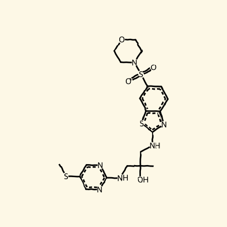 CSc1cnc(NCC(C)(O)CNc2nc3ccc(S(=O)(=O)N4CCOCC4)cc3s2)nc1